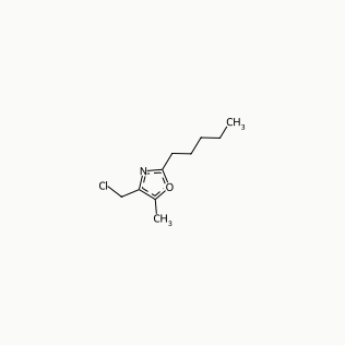 CCCCCc1nc(CCl)c(C)o1